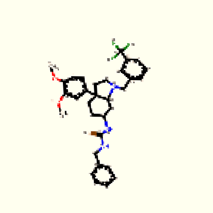 COc1ccc(C23CCC(NC(=S)NCc4ccccc4)CC2N(Cc2cccc(C(F)(F)F)c2)CC3)cc1OC